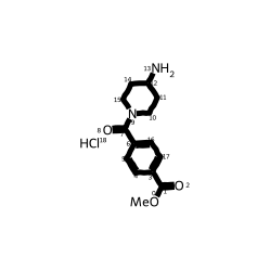 COC(=O)c1ccc(C(=O)N2CCC(N)CC2)cc1.Cl